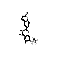 Cc1cc([C@@H](C)NC(=O)c2ccc3nc(C(F)(F)F)ccc3c2)ccc1NS(C)(=O)=O